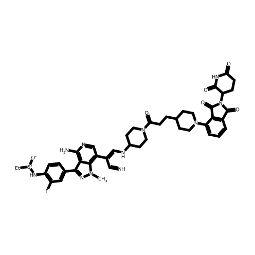 CC[S+]([O-])Nc1ccc(-c2nn(C)c3c(/C(C=N)=C/NC4CCN(C(=O)CCC5CCN(c6cccc7c6C(=O)N(C6CCC(=O)NC6=O)C7=O)CC5)CC4)cnc(N)c23)cc1F